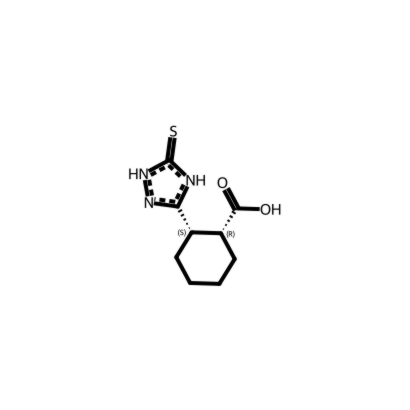 O=C(O)[C@@H]1CCCC[C@@H]1c1n[nH]c(=S)[nH]1